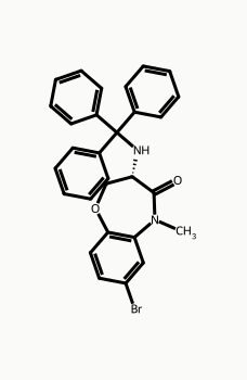 CN1C(=O)[C@@H](NC(c2ccccc2)(c2ccccc2)c2ccccc2)COc2ccc(Br)cc21